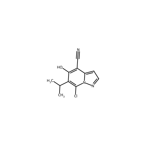 CC(C)c1c(O)c(C#N)c2ccnn2c1Cl